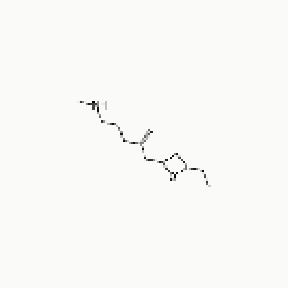 C=C(CCCNC)CC1CC(CC)O1